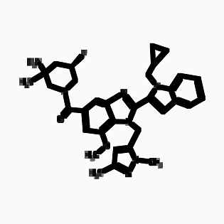 BC1(N)C[C@@H](F)CN(C(=O)c2cc(OC)c3c(c2)nc(-c2cc4ccccc4n2CC2CC2)n3Cc2cc(C)nn2C)C1